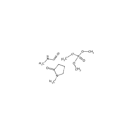 CN1CCCC1=O.CNC=O.COP(=O)(OC)OC